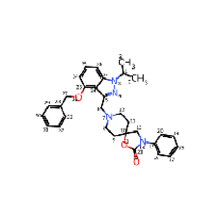 CC(C)n1nc(CN2CCC3(CC2)CN(c2ccccc2)C(=O)O3)c2c(OCc3ccccc3)cccc21